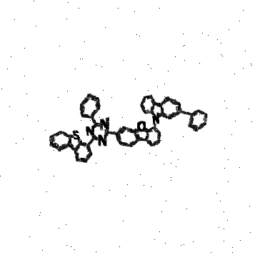 c1ccc(-c2ccc3c4ccccc4n(-c4cccc5c4oc4cc(-c6nc(-c7ccccc7)nc(-c7cccc8c7sc7ccccc78)n6)ccc45)c3c2)cc1